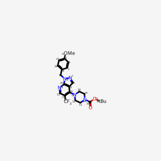 COc1ccc(Cn2ncc3c(N4CCN(C(=O)OC(C)(C)C)CC4)c(C(F)(F)F)cnc32)cc1